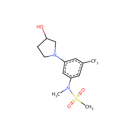 CN(c1cc(N2CCC(O)C2)cc(C(F)(F)F)c1)S(C)(=O)=O